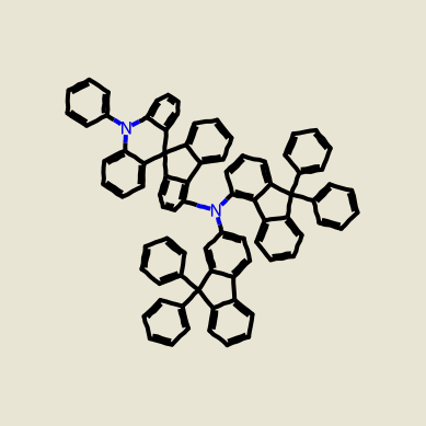 c1ccc(N2c3ccccc3C3(c4ccccc4-c4c(N(c5ccc6c(c5)C(c5ccccc5)(c5ccccc5)c5ccccc5-6)c5cccc6c5-c5ccccc5C6(c5ccccc5)c5ccccc5)cccc43)c3ccccc32)cc1